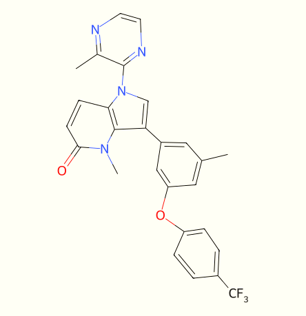 Cc1cc(Oc2ccc(C(F)(F)F)cc2)cc(-c2cn(-c3nccnc3C)c3ccc(=O)n(C)c23)c1